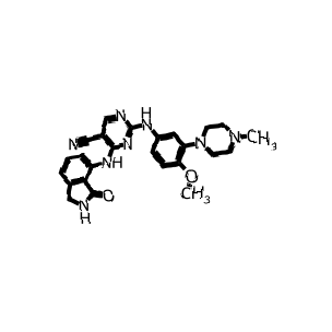 COc1ccc(Nc2ncc(C#N)c(Nc3cccc4c3C(=O)NC4)n2)cc1N1CCN(C)CC1